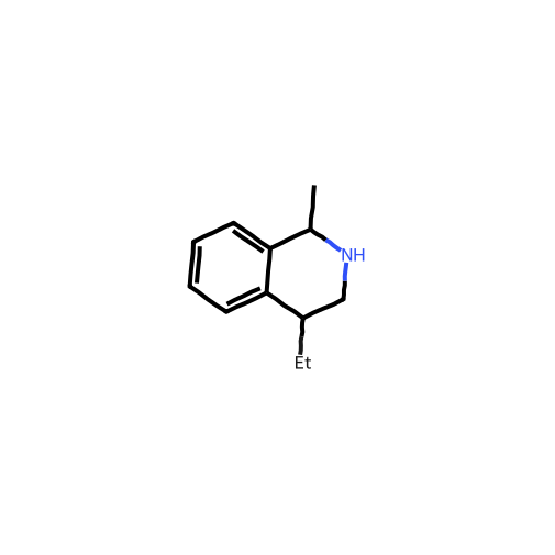 CCC1CNC(C)c2ccccc21